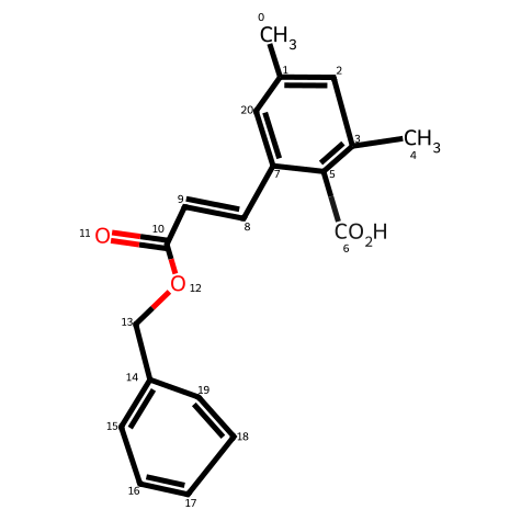 Cc1cc(C)c(C(=O)O)c(C=CC(=O)OCc2ccccc2)c1